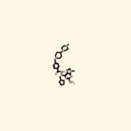 CN1CCN(C2CCN(Cc3ccc(C(=O)NN(CC4CCCC4)c4nc(N)nc5c4ncn5C)cc3)CC2)CC1